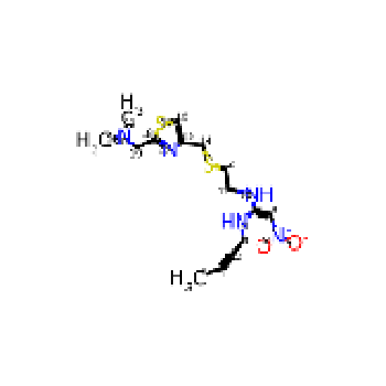 CC#CCNC(=C[N+](=O)[O-])NCCSCc1csc(CN(C)C)n1